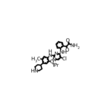 Cc1cc(Nc2ncc(Cl)c(Nc3ccccc3C(=O)C(N)=O)n2)c(OC(C)C)cc1C1CCNCC1